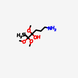 COC(O)(CCCN)C([SiH3])(OC)OC